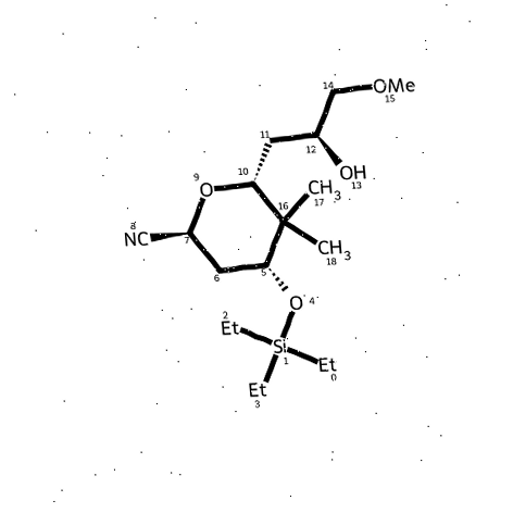 CC[Si](CC)(CC)O[C@@H]1C[C@@H](C#N)O[C@H](C[C@H](O)COC)C1(C)C